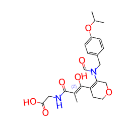 C/C(C(=O)NCC(=O)O)=C(/O)C1=C(N(C=O)Cc2ccc(OC(C)C)cc2)COCC1